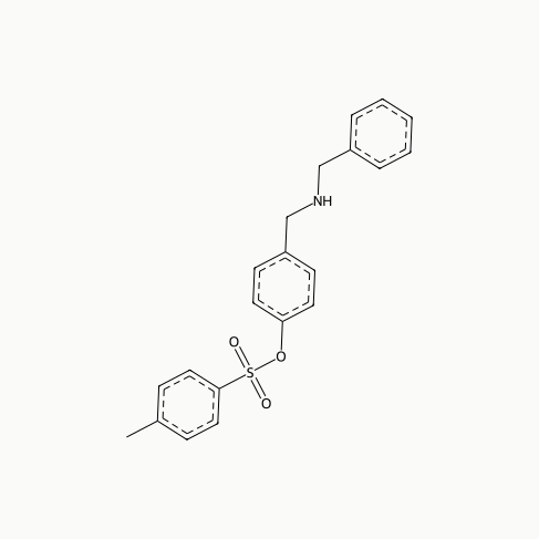 Cc1ccc(S(=O)(=O)Oc2ccc(CNCc3ccccc3)cc2)cc1